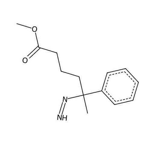 COC(=O)CCCC(C)(N=N)c1ccccc1